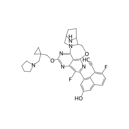 C#Cc1c(F)ccc2cc(O)cc(-c3nc4c5c(nc(OCC6(CN7CCCC7)CC6)nc5c3F)N3CC5CCC(N5)C3CO4)c12